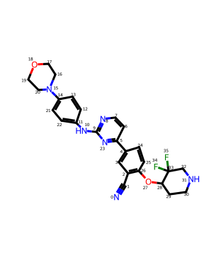 N#Cc1cc(-c2ccnc(Nc3ccc(N4CCOCC4)cc3)n2)ccc1OC1CCNCC1(F)F